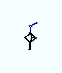 CNC12CC(C)(C1)C2